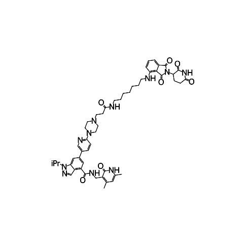 Cc1cc(C)c(CNC(=O)c2cc(-c3ccc(N4CCN(CCC(=O)NCCCCCCCNc5cccc6c5C(=O)N(C5CCC(=O)NC5=O)C6=O)CC4)nc3)cc3c2cnn3C(C)C)c(=O)[nH]1